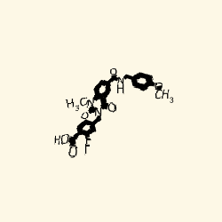 COc1ccc(CNC(=O)c2ccc3c(c2)c(=O)n(Cc2ccc(C(=O)O)c(F)c2)c(=O)n3C)cc1